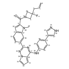 C=CCC1(F)CN(C(=O)c2cc3ccc(-c4nc(Nc5ccc(-c6cn[nH]c6)cc5)c5cccn5n4)cc3n2C)C1